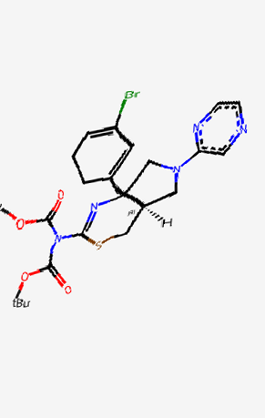 CC(C)(C)OC(=O)N(C(=O)OC(C)(C)C)C1=NC2(C3=CC(Br)=CCC3)CN(c3cnccn3)C[C@H]2CS1